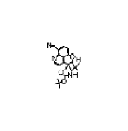 CC(C)(C)OC(=O)N[C@H]1C(C)(C)[C@@H]2Oc3ccc(C#N)c4nccc(c34)C12C